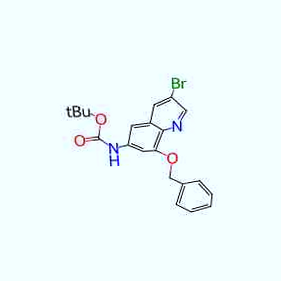 CC(C)(C)OC(=O)Nc1cc(OCc2ccccc2)c2ncc(Br)cc2c1